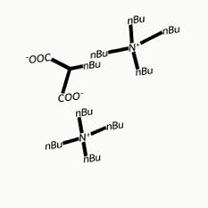 CCCCC(C(=O)[O-])C(=O)[O-].CCCC[N+](CCCC)(CCCC)CCCC.CCCC[N+](CCCC)(CCCC)CCCC